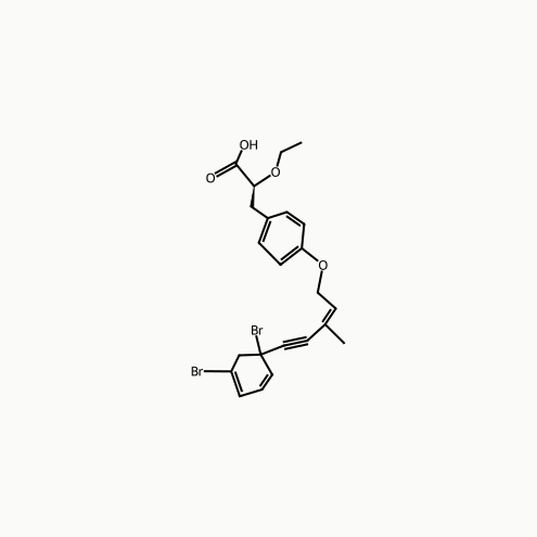 CCO[C@@H](Cc1ccc(OC/C=C(/C)C#CC2(Br)C=CC=C(Br)C2)cc1)C(=O)O